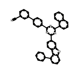 N#Cc1cccc(-c2ccc(-c3nc(-c4ccc5c(c4)oc4cccc(-c6ccccc6)c45)nc(-c4cccc5ccccc45)n3)cc2)c1